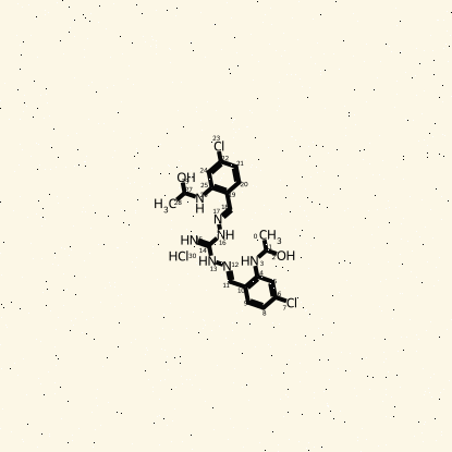 CC(O)Nc1cc(Cl)ccc1C=NNC(=N)NN=Cc1ccc(Cl)cc1NC(C)O.Cl